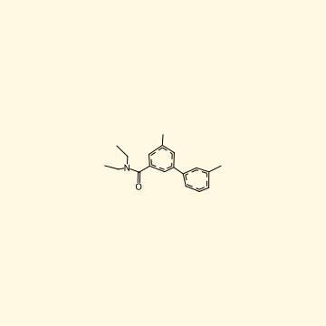 CCN(CC)C(=O)c1cc(C)cc(-c2cccc(C)c2)c1